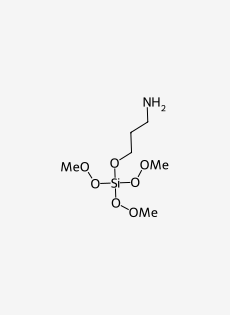 COO[Si](OCCCN)(OOC)OOC